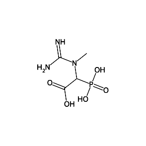 CN(C(=N)N)C(C(=O)O)P(=O)(O)O